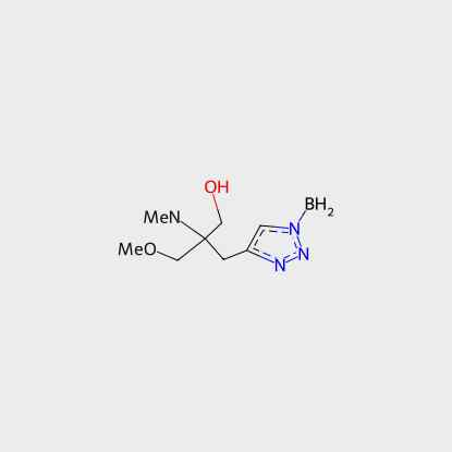 Bn1cc(CC(CO)(COC)NC)nn1